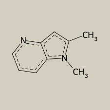 Cc1cc2ncccc2n1C